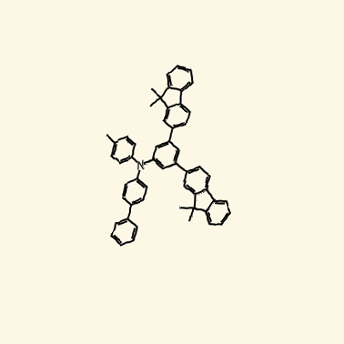 Cc1ccc(N(c2ccc(-c3ccccc3)cc2)c2cc(-c3ccc4c(c3)C(C)(C)c3ccccc3-4)cc(-c3ccc4c(c3)C(C)(C)c3ccccc3-4)c2)cc1